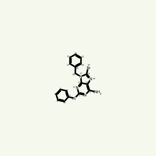 Nc1nc(Sc2ccccc2)nc2c1nc(Br)n2Cc1ccccc1